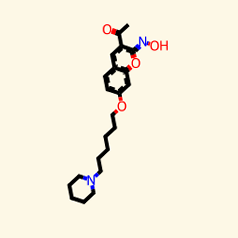 CC(=O)c1cc2ccc(OCCCCCCN3CCCCC3)cc2oc1=NO